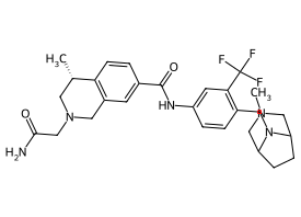 C[C@H]1CN(CC(N)=O)Cc2cc(C(=O)Nc3ccc(CN4C5CCC4CN(C)C5)c(C(F)(F)F)c3)ccc21